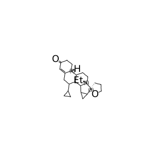 CC[C@]12CCC3C(C(C4CC4)CC4=CC(=O)CC[C@@H]43)C1C1CC1[C@@]21CCCO1